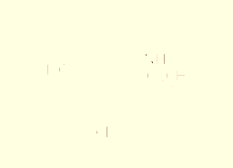 O=C(O)NC1CCc2ccc(O)cc2C1Cc1cccc(Cl)c1